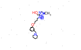 CN1C=NC(CO)(NCCCCOc2cccc(CN3CCCCC3)c2)N1